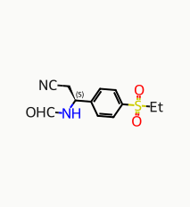 CCS(=O)(=O)c1ccc([C@H](CC#N)NC=O)cc1